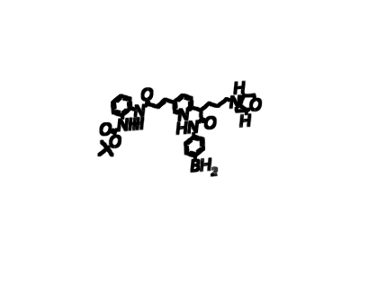 Bc1ccc(NC(=O)C(CCCN2C[C@@H]3C[C@H]2CO3)c2ccc(/C=C/C(=O)Nc3ccccc3NC(=O)OC(C)(C)C)cn2)cc1